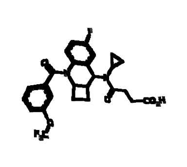 O=C(O)CCC(=O)N(C1CC1)C1c2cc(F)ccc2N(C(=O)c2cccc(OC(F)(F)F)c2)C2CCC21